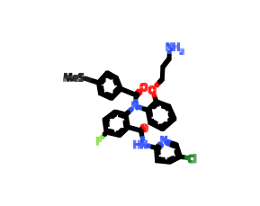 CSc1ccc(C(=O)N(c2ccccc2OCCCN)c2ccc(F)cc2C(=O)Nc2ccc(Cl)cn2)cc1